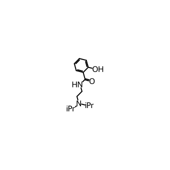 CC(C)N(CCNC(=O)c1ccccc1O)C(C)C